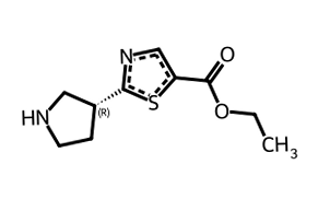 CCOC(=O)c1cnc([C@@H]2CCNC2)s1